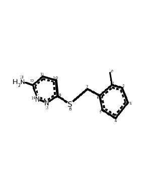 Cc1ccccc1CSc1ccc(N)nn1